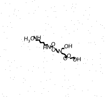 CNCCCCCCNC(=O)OCCN(CCO)CCC(=O)OCCO